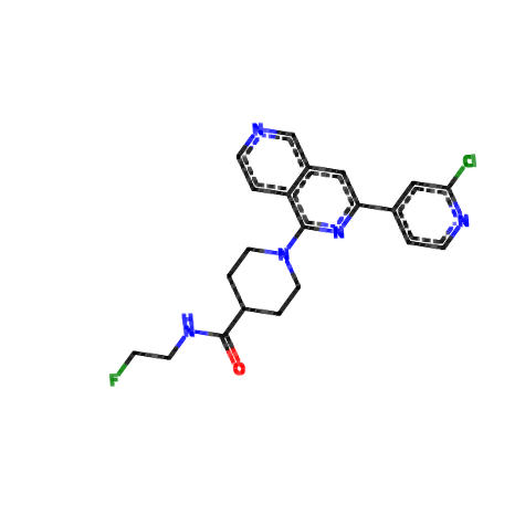 O=C(NCCF)C1CCN(c2nc(-c3ccnc(Cl)c3)cc3cnccc23)CC1